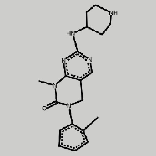 Cc1ccccc1N1Cc2cnc(NC3CCNCC3)nc2N(C)C1=O